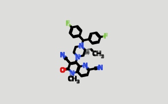 CC[C@@H]1CN(c2c(C#N)c(=O)n(C)c3ccc(C#N)nc23)CCN1C(c1ccc(F)cc1)c1ccc(F)cc1